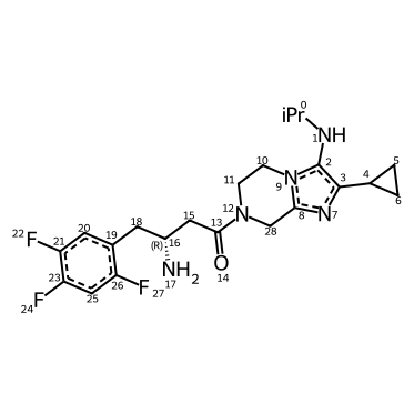 CC(C)Nc1c(C2CC2)nc2n1CCN(C(=O)C[C@H](N)Cc1cc(F)c(F)cc1F)C2